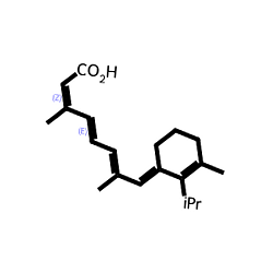 CC(=C/C=C/C(C)=C\C(=O)O)C=C1CCCC(C)=C1C(C)C